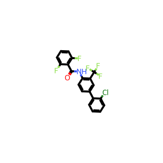 O=C(Nc1ccc(-c2ccccc2Cl)cc1C(F)(F)F)c1c(F)cccc1F